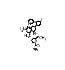 Cc1nc(N)nc2c1/C(=N/OC(C)C1CCCN(C(=O)OC(C)(C)C)C1)CC(c1ccc(F)cc1-c1cccnc1)C2